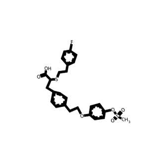 CS(=O)(=O)Oc1ccc(OCCc2ccc(CC(SCCc3ccc(F)cc3)C(=O)O)cc2)cc1